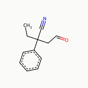 CCC(C#N)(CC=O)c1ccccc1